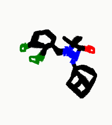 CC1(C)C(=O)N(C2CCC3CC4CC2CC34)N1CC1=C(Cl)C(Cl)CC=C1